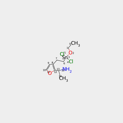 CC[O][Sn]([Cl])([Cl])[CH2]Cc1ccoc1C(C)N